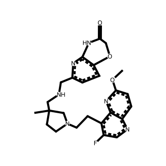 COc1ccc2ncc(F)c(CCN3CCC(C)(CNCc4ccc5c(n4)NC(=O)CO5)C3)c2n1